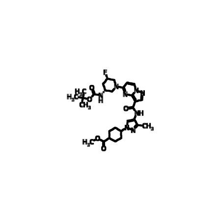 COC(=O)C1CCC(n2cc(NC(=O)c3cnn4ccc(N5C[C@H](F)C[C@@H](NC(=O)OC(C)(C)C)C5)nc34)c(C)n2)CC1